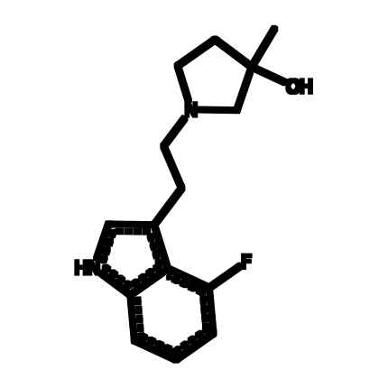 CC1(O)CCN(CCc2c[nH]c3cccc(F)c23)C1